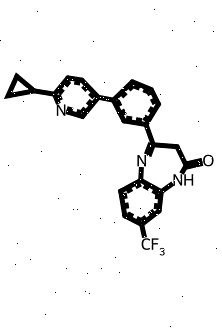 O=C1CC(c2cccc(-c3ccc(C4CC4)nc3)c2)=Nc2ccc(C(F)(F)F)cc2N1